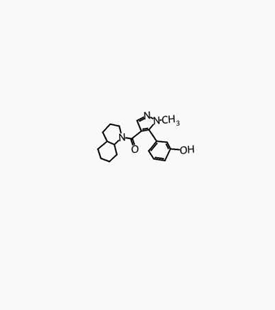 Cn1ncc(C(=O)N2CCCC3CCCCC32)c1-c1cccc(O)c1